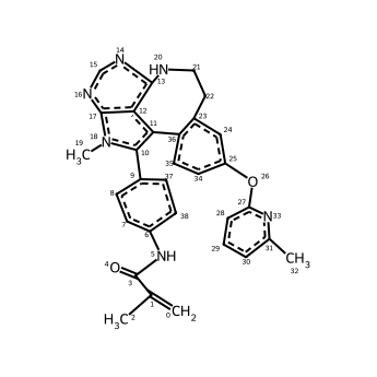 C=C(C)C(=O)Nc1ccc(-c2c3c4c(ncnc4n2C)NCCc2cc(Oc4cccc(C)n4)ccc2-3)cc1